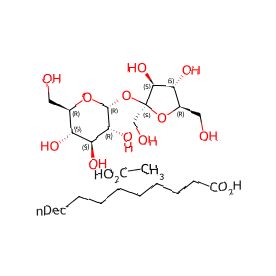 CC(=O)O.CCCCCCCCCCCCCCCCCC(=O)O.OC[C@H]1O[C@@](CO)(O[C@H]2O[C@H](CO)[C@@H](O)[C@H](O)[C@H]2O)[C@@H](O)[C@@H]1O